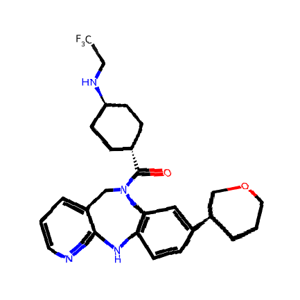 O=C([C@H]1CC[C@H](NCC(F)(F)F)CC1)N1Cc2cccnc2Nc2ccc([C@@H]3CCCOC3)cc21